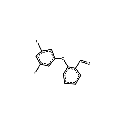 O=Cc1ccccc1Oc1cc(F)cc(F)c1